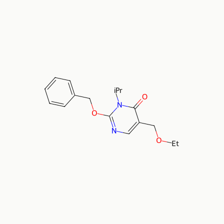 CCOCc1cnc(OCc2ccccc2)n(C(C)C)c1=O